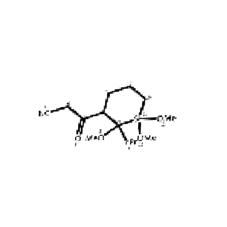 CCCC1(OC)C(C(=O)CC#N)CCC[Si]1(OC)OC